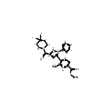 CC(C)(C)OC(=O)c1cnc(-c2cc(C(=O)N3CCC(F)(F)CC3)nn2-c2cccnc2)c(N)n1